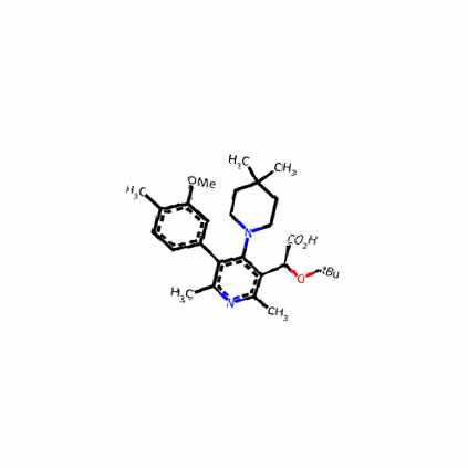 COc1cc(-c2c(C)nc(C)c([C@H](OC(C)(C)C)C(=O)O)c2N2CCC(C)(C)CC2)ccc1C